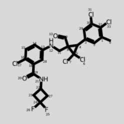 Cc1cc(C2C(Cl)(Cl)C2(C=O)CNc2ccc(Cl)c(C(=O)NC3CC(F)(F)C3)c2)cc(Cl)c1Cl